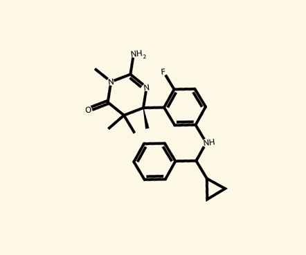 CN1C(=O)C(C)(C)[C@@](C)(c2cc(NC(c3ccccc3)C3CC3)ccc2F)N=C1N